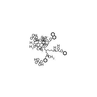 CC1=C(C(=O)O)C(c2cccc([N+](=O)[O-])c2)C(C(=O)OC(CNCC(O)COc2cccc3ccccc23)CC(CCCCNCC(O)COc2ccccc2)CCN(C)Cc2ccccc2)=C(C)N1C.O=C(O)C(=O)O.O=C(O)C(=O)O